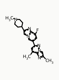 Cc1cn2nc(-c3cc(F)c4nc(C5CCN(C)CC5)cn4c3)cc(C)c2n1